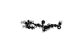 Cc1ncsc1-c1ccc([C@H](C)NC(=O)[C@@H]2C[C@@H](O)CN2C(=O)C(NC(=O)CCCCCC(=O)N2CCN(CCC(CSc3ccccc3)Nc3ccc(S(=O)(=O)NC(=O)c4ccc(N5CCN(CC6=C(c7ccc(Cl)cc7)CCCCCC6)CC5)cc4)cc3S(=O)(=O)C(F)(F)F)CC2)C(C)(C)C)cc1